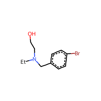 CCN(CCO)Cc1ccc(Br)cc1